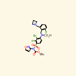 CC(C)(C)OC(=O)N(c1ccon1)S(=O)(=O)c1ccc(N(Cc2c(F)cccc2CN2CCC2)C(=O)O)c(Br)c1F